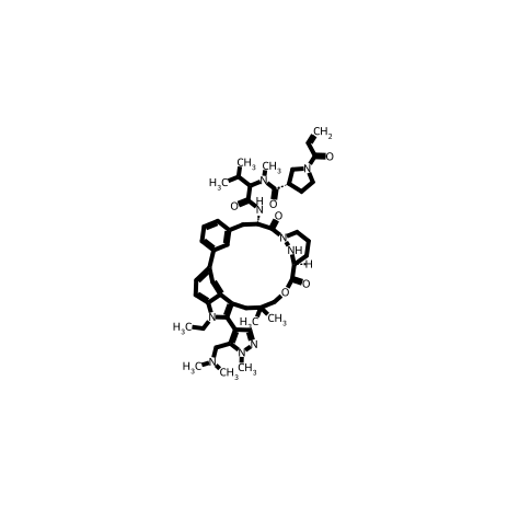 C=CC(=O)N1CC[C@H](C(=O)N(C)C(C(=O)N[C@H]2Cc3cccc(c3)-c3ccc4c(c3)c(c(-c3cnn(C)c3CN(C)C)n4CC)CC(C)(C)COC(=O)[C@@H]3CCCN(N3)C2=O)C(C)C)C1